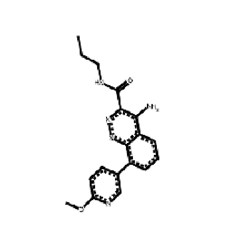 CCCNC(=O)c1nnc2c(-c3ccc(OC)nc3)cccc2c1N